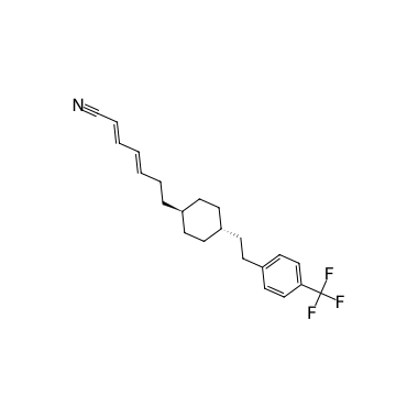 N#C/C=C/C=C/CC[C@H]1CC[C@H](CCc2ccc(C(F)(F)F)cc2)CC1